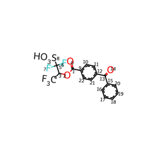 O=C(OC(C(F)(F)F)C(F)(F)S(=O)(=O)O)c1ccc(C(=O)c2ccccc2)cc1